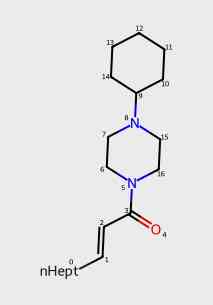 CCCCCCCC=CC(=O)N1CCN(C2CCCCC2)CC1